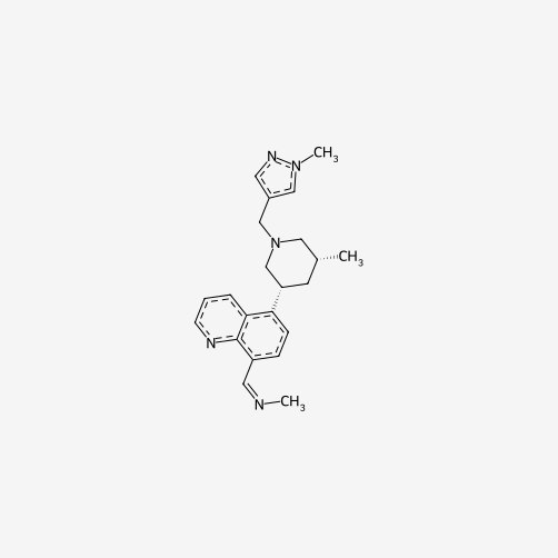 C/N=C\c1ccc([C@H]2C[C@@H](C)CN(Cc3cnn(C)c3)C2)c2cccnc12